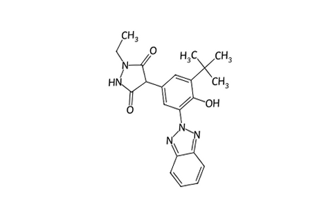 CCN1NC(=O)C(c2cc(-n3nc4ccccc4n3)c(O)c(C(C)(C)C)c2)C1=O